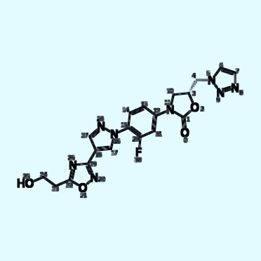 O=C1O[C@@H](Cn2ccnn2)CN1c1ccc(-n2cc(-c3noc(CCO)n3)cn2)c(F)c1